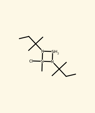 CCC(C)(C)N1[SiH2]N(C(C)(C)CC)[Si]1(C)Cl